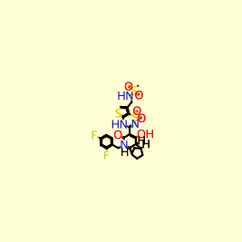 CS(=O)(=O)NCc1csc2c1S(=O)(=O)N=C(C1=C(O)[C@@H]3[C@H]4CCC(C4)[C@@H]3N(Cc3ccc(F)cc3F)C1=O)N2